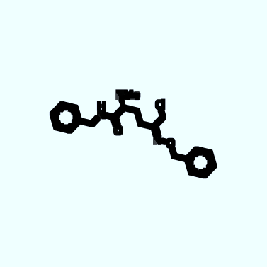 CN[C@@H](CCC(CCl)=NOCc1ccccc1)C(=O)NCc1ccccc1